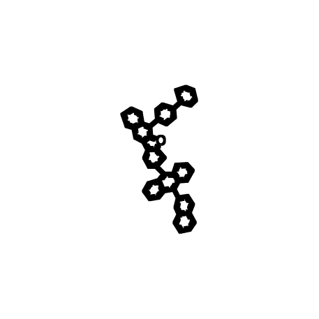 c1ccc(-c2ccc(-c3c4ccccc4cc4c3oc3cc(-c5c6ccccc6c(-c6ccc7ccccc7c6)c6ccccc56)ccc34)cc2)cc1